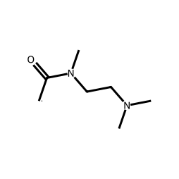 [CH2]C(=O)N(C)CCN(C)C